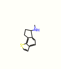 CNC1CCc2c1ccc1ccsc21